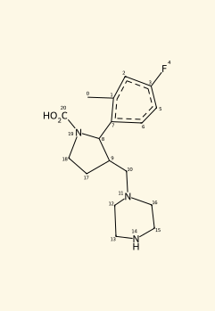 Cc1cc(F)ccc1C1C(CN2CCNCC2)CCN1C(=O)O